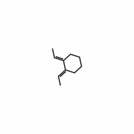 CC=C1CCCCC1=CC